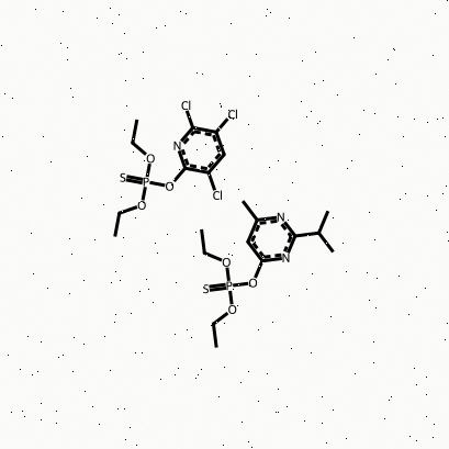 CCOP(=S)(OCC)Oc1cc(C)nc(C(C)C)n1.CCOP(=S)(OCC)Oc1nc(Cl)c(Cl)cc1Cl